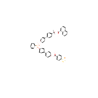 CC(C)(OC(=O)c1cccc2ccccc12)c1ccc(-c2ccc(OP(=O)(Oc3ccc(-c4ccc(OC(=O)c5ccc(S(C)(=O)=O)cc5)cc4)cc3)c3ccccc3)cc2)cc1